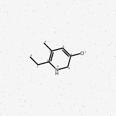 C[CH]C1=C(C)C=C(Cl)CN1